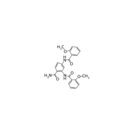 COc1ccccc1C(=O)Nc1ccc(C(N)=O)c(NC(=O)c2ccccc2OC)c1